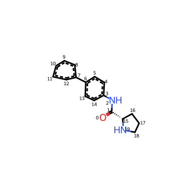 O=C(Nc1ccc(-c2ccccc2)cc1)[C@@H]1CCCN1